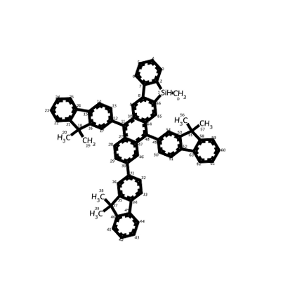 C[SiH]1c2ccccc2-c2cc3c(-c4ccc5c(c4)C(C)(C)c4ccccc4-5)c4ccc(-c5ccc6c(c5)C(C)(C)c5ccccc5-6)cc4c(-c4ccc5c(c4)C(C)(C)c4ccccc4-5)c3cc21